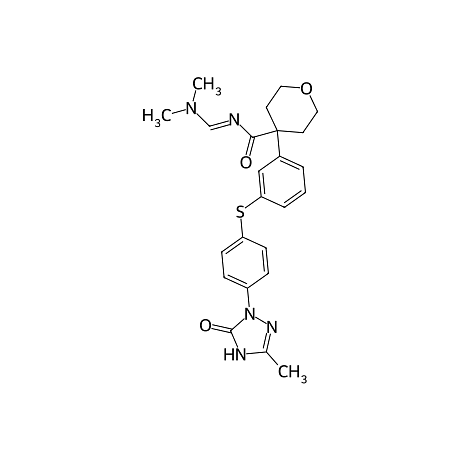 Cc1nn(-c2ccc(Sc3cccc(C4(C(=O)/N=C/N(C)C)CCOCC4)c3)cc2)c(=O)[nH]1